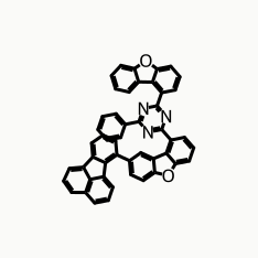 c1ccc(-c2nc(-c3cccc4oc5ccccc5c34)nc(-c3cccc4oc5ccc(-c6cccc7c6-c6cccc8cccc-7c68)cc5c34)n2)cc1